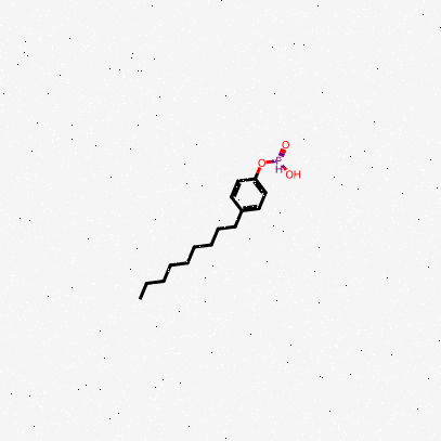 CCCCCCCCCc1ccc(O[PH](=O)O)cc1